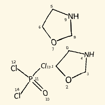 C1COCN1.C1COCN1.O=P(Cl)(Cl)Cl